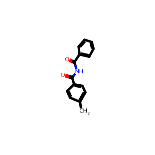 Cc1ccc(C(=O)NC(=O)c2ccccc2)cc1